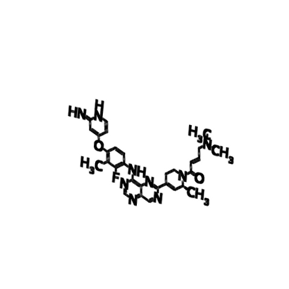 Cc1c(Oc2cc[nH]c(=N)c2)ccc(Nc2ncnc3cnc(C4=C[C@H](C)N(C(=O)/C=C/CN(C)C)CC4)nc23)c1F